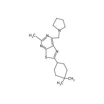 Cc1nc(CN2CCCC2)c2nc(C3CCC(C)(C)CC3)sc2n1